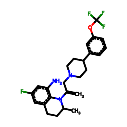 C=C(CN1CCC(c2cccc(OC(F)(F)F)c2)CC1)N1c2c(N)cc(F)cc2CCC1C